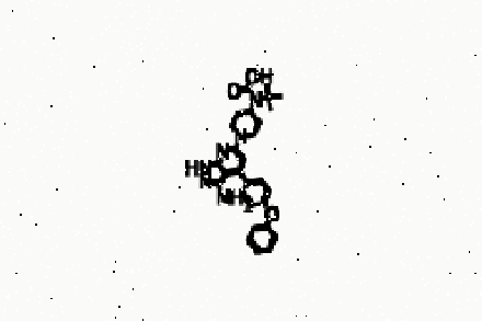 CC(C)(C)N(C(=O)O)C1CCN(c2cc(-c3ccc(Oc4ccccc4)cc3)c3c(N)n[nH]c3n2)CC1